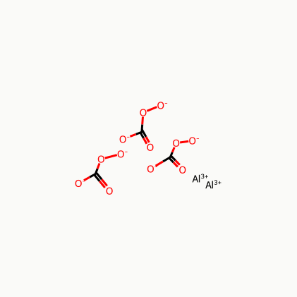 O=C([O-])O[O-].O=C([O-])O[O-].O=C([O-])O[O-].[Al+3].[Al+3]